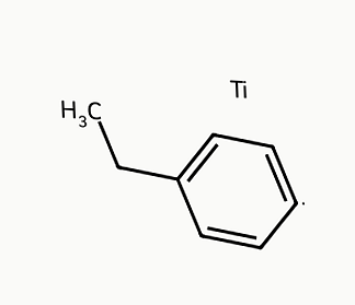 CCc1cc[c]cc1.[Ti]